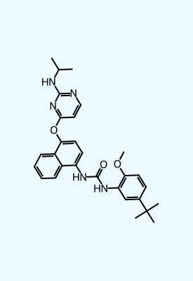 COc1ccc(C(C)(C)C)cc1NC(=O)Nc1ccc(Oc2ccnc(NC(C)C)n2)c2ccccc12